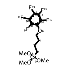 CO[Si](CCCCOc1c(F)c(F)c(F)c(F)c1F)(OC)OC